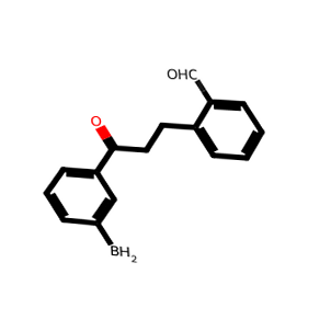 Bc1cccc(C(=O)CCc2ccccc2C=O)c1